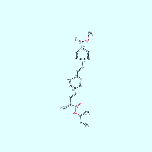 C=C(CC)OC(=O)C(=C)/C=C/c1ccc(/C=C/c2ccc(C(=O)OC)cc2)cc1